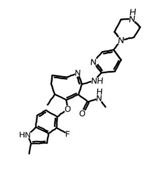 CNC(=O)C1=C(\Oc2ccc3[nH]c(C)cc3c2F)C(C)C/C=C/N=C\1Nc1ccc(N2CCNCC2)cn1